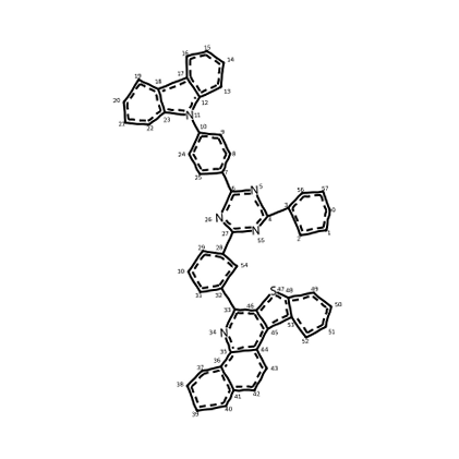 c1ccc(-c2nc(-c3ccc(-n4c5ccccc5c5ccccc54)cc3)nc(-c3cccc(-c4nc5c6ccccc6ccc5c5c4sc4ccccc45)c3)n2)cc1